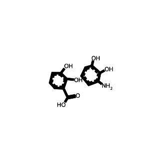 Nc1cccc(O)c1O.O=C(O)c1cccc(O)c1O